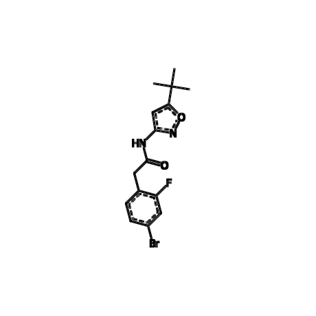 CC(C)(C)c1cc(NC(=O)Cc2ccc(Br)cc2F)no1